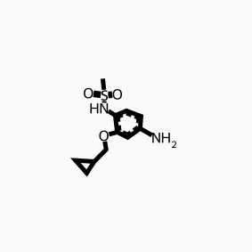 CS(=O)(=O)Nc1ccc(N)cc1OCC1CC1